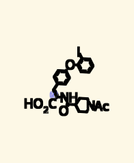 CC(=O)N1CCC(C(=O)N/C(=C\c2ccc(Oc3ccccc3I)cc2)C(=O)O)CC1